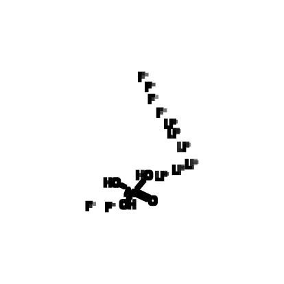 O=[As](O)(O)O.[F-].[F-].[F-].[F-].[F-].[F-].[Li+].[Li+].[Li+].[Li+].[Li+].[Li+]